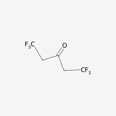 O=C(CC(F)(F)F)CC(F)(F)F